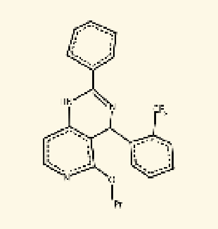 CC(C)Oc1nccc2c1C(c1ccccc1C(F)(F)F)N=C(c1ccccc1)N2